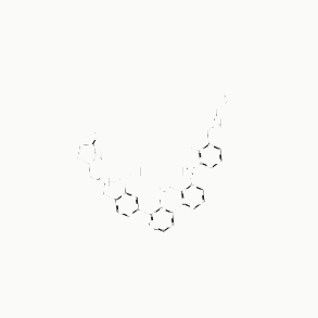 COc1cc(-c2nccc(-c3cccc(Nc4cccc(CNCCO)c4F)c3Cl)c2Cl)ccc1CNCC1CCC(=O)N1